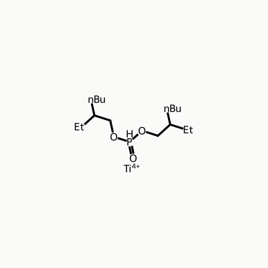 CCCCC(CC)CO[PH](=O)OCC(CC)CCCC.[Ti+4]